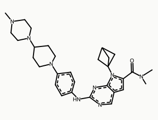 CN1CCN(C2CCN(c3ccc(Nc4ncc5cc(C(=O)N(C)C)n(C67CC(C6)C7)c5n4)cc3)CC2)CC1